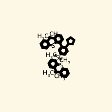 CC1(C)c2ccccc2Sc2c(-c3cc([Si](C)(C)c4cccc5c4Sc4ccccc4C5(C)C)ccc3C3CCCC3)cccc21